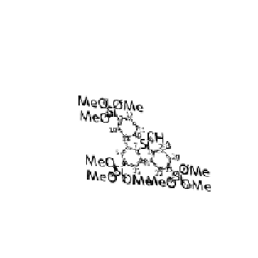 CO[Si](OC)(OC)c1ccc([Si](C)(c2ccc([Si](OC)(OC)OC)cc2)c2ccc([Si](OC)(OC)OC)cc2)cc1